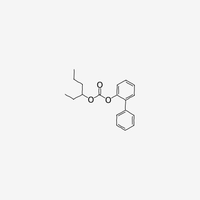 CCCC(CC)OC(=O)Oc1ccccc1-c1ccccc1